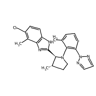 Cc1cc[c]c(-n2nccn2)c1N1CC[C@H](C)[C@H]1c1nc2c(C)c(Cl)ccc2[nH]1